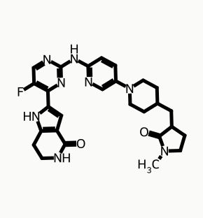 CN1CCC(CC2CCN(c3ccc(Nc4ncc(F)c(-c5cc6c([nH]5)CCNC6=O)n4)nc3)CC2)C1=O